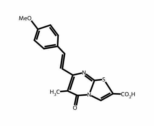 COc1ccc(/C=C/c2nc3sc(C(=O)O)cn3c(=O)c2C)cc1